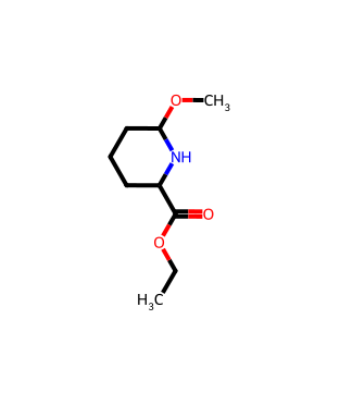 CCOC(=O)C1CCCC(OC)N1